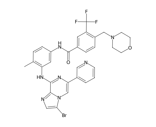 Cc1ccc(NC(=O)c2ccc(CN3CCOCC3)c(C(F)(F)F)c2)cc1Nc1nc(-c2cccnc2)cn2c(Br)cnc12